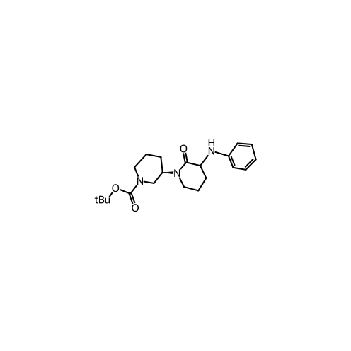 CC(C)(C)OC(=O)N1CCC[C@@H](N2CCCC(Nc3ccccc3)C2=O)C1